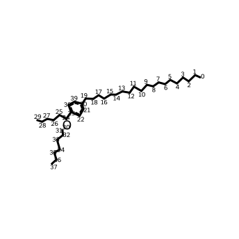 CCCCCCCCCCCCCCCCCCCCc1ccc(C(CCCCC)OCCCCCCC)cc1